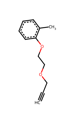 C#CCOCCOc1ccccc1C